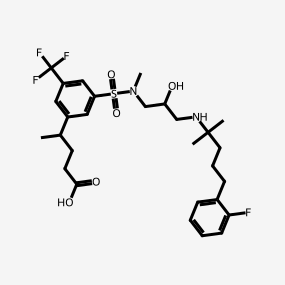 CC(CCC(=O)O)c1cc(C(F)(F)F)cc(S(=O)(=O)N(C)CC(O)CNC(C)(C)CCCc2ccccc2F)c1